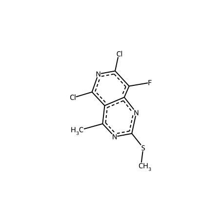 CSc1nc(C)c2c(Cl)nc(Cl)c(F)c2n1